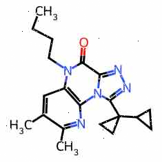 CCCCn1c(=O)c2nnc(C3(C4CC4)CC3)n2c2nc(C)c(C)cc21